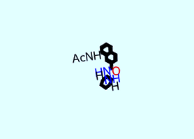 CC(=O)Nc1cccc2ccc(C(=O)N[C@@H]3C[C@H]4CC[C@@H]3N4)cc12